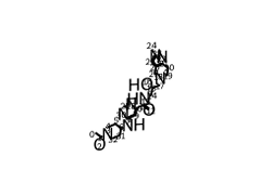 CC(=O)N1CCC(Nc2cc(C(=O)NC[C@H](O)CN3CCc4nn(C)cc4C3)ncn2)CC1